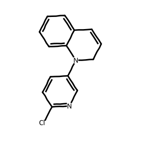 Clc1ccc(N2CC=Cc3ccccc32)cn1